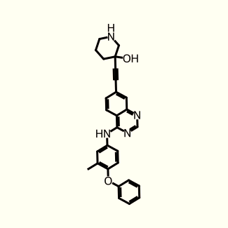 Cc1cc(Nc2ncnc3cc(C#CC4(O)CCCNC4)ccc23)ccc1Oc1ccccc1